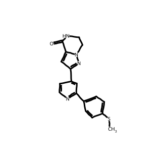 CSc1ccc(-c2cc(-c3cc4n(n3)CCNC4=O)ccn2)cc1